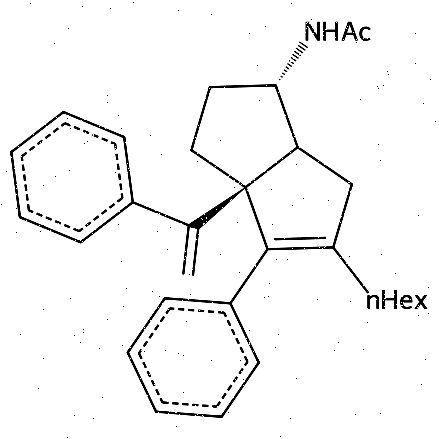 C=C(c1ccccc1)[C@@]12CC[C@H](NC(C)=O)C1CC(CCCCCC)=C2c1ccccc1